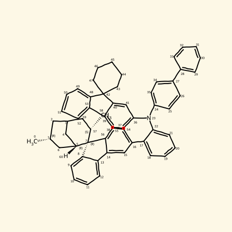 C[C@@H]1CC2C[C@@H](C1)[C@@]1(c3ccccc3-c3cc(-c4ccccc4N(c4ccc(-c5ccccc5)cc4)c4ccc5c(c4)C4(CCCCC4)c4ccccc4-5)ccc31)[C@@H](C)C2